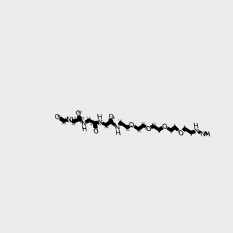 CNNCCOCCOCCOCCOCCNC(=O)CNC(=O)CNC(=O)CNC=O